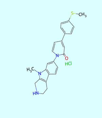 CSc1ccc(-c2ccn(-c3ccc4c5c(n(C)c4c3)CNCC5)c(=O)c2)cc1.Cl